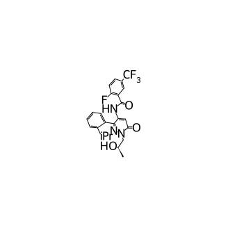 CC(C)c1ccccc1-c1nn(C[C@@H](C)O)c(=O)cc1NC(=O)c1cc(C(F)(F)F)ccc1F